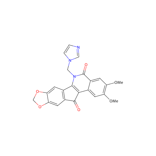 COc1cc2c3c(n(Cn4ccnc4)c(=O)c2cc1OC)-c1cc2c(cc1C3=O)OCO2